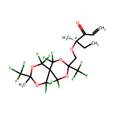 C=CC(=O)[C@@](C)(CC)OCC1(C(F)(F)F)OC(F)(F)C2(C(F)(F)OC(C)(C(F)(F)F)OC2(F)F)C(F)(F)O1